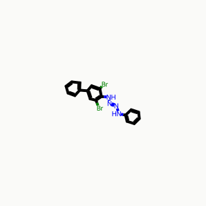 Brc1cc(-c2ccccc2)cc(Br)c1NN=NNc1ccccc1